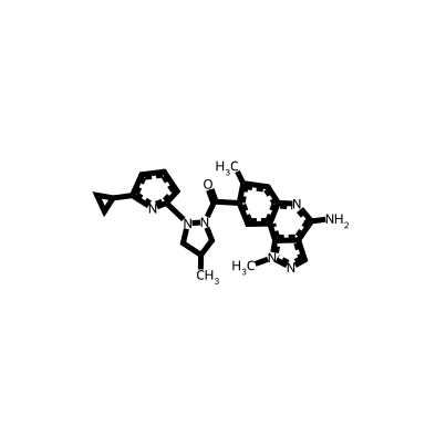 Cc1cc2nc(N)c3cnn(C)c3c2cc1C(=O)N1CC(C)CN1c1cccc(C2CC2)n1